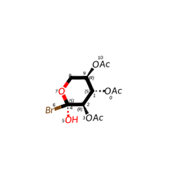 CC(=O)O[C@@H]1[C@@H](OC(C)=O)[C@@](O)(Br)OC[C@H]1OC(C)=O